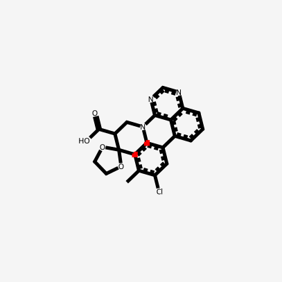 Cc1ccc(-c2cccc3ncnc(N4CCC5(OCCO5)C(C(=O)O)C4)c23)cc1Cl